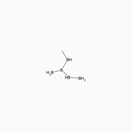 BBB(B)BC